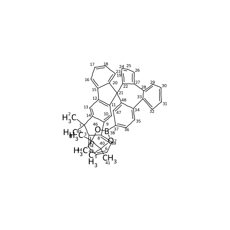 CC1(C)c2ccccc2-c2cc3c(cc21)-c1ccccc1C31c2ccccc2-c2ccccc2-c2ccc(B3OC(C)(C)C(C)(C)O3)cc21